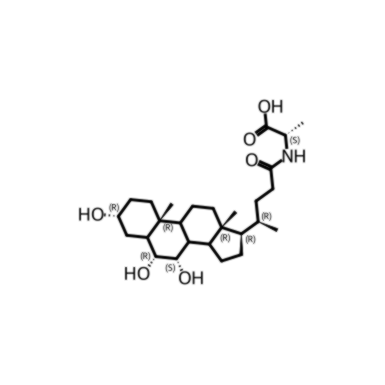 C[C@H](NC(=O)CC[C@@H](C)[C@H]1CCC2C3C(CC[C@@]21C)[C@@]1(C)CC[C@@H](O)CC1[C@@H](O)[C@H]3O)C(=O)O